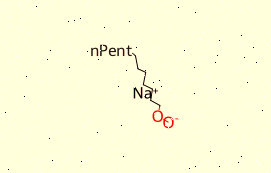 CCCCCCCCCCCCO[O-].[Na+]